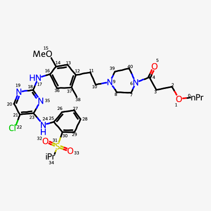 CCCOCCC(=O)N1CCN(CCc2cc(OC)c(Nc3ncc(Cl)c(Nc4ccccc4S(=O)(=O)C(C)C)n3)cc2C)CC1